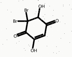 O=C1C=C(O)C(=O)C(Br)(Br)C1O